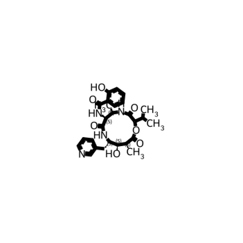 CC(C)C1OC(=O)[C@H](C)[C@H](O)[C@H](Cc2cccnc2)NC(=O)[C@@H](NC(=O)c2ccccc2O)[C@@H](C)NC1=O